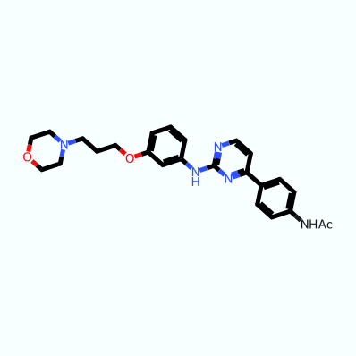 CC(=O)Nc1ccc(-c2ccnc(Nc3cccc(OCCCN4CCOCC4)c3)n2)cc1